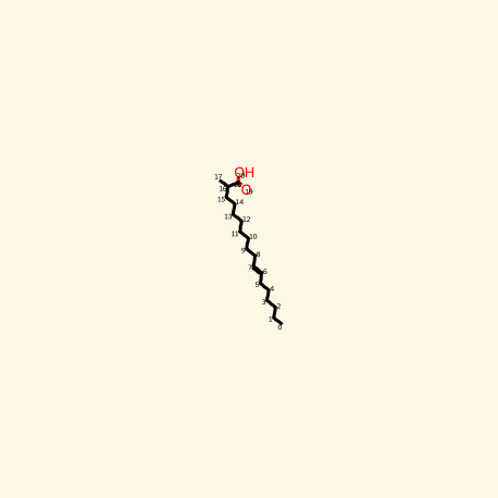 CCCCCCC=CCCCCCCCCC(C)C(=O)O